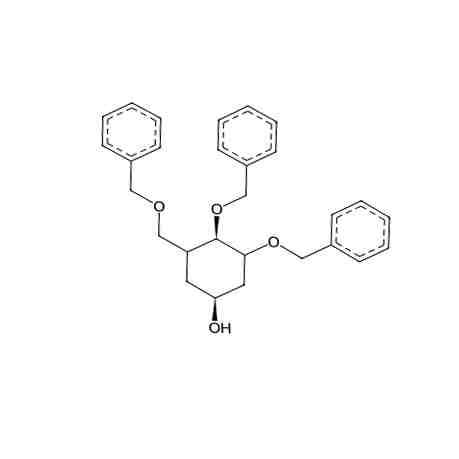 O[C@H]1CC(COCc2ccccc2)[C@@H](OCc2ccccc2)C(OCc2ccccc2)C1